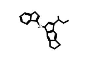 CCC(C)C1=C[CH]([Zr][C]2=CCc3ccccc32)c2cc3c(cc21)CCC3